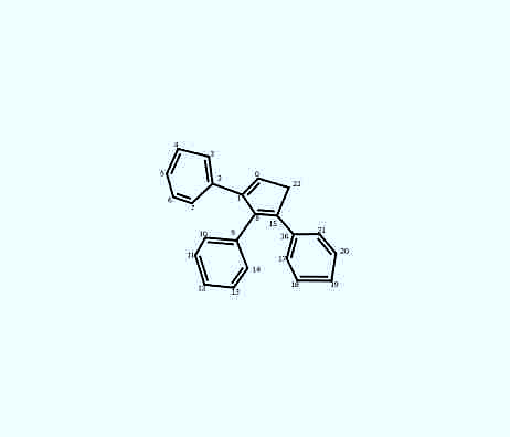 C1=C(c2ccccc2)C(c2ccccc2)=C(c2ccccc2)C1